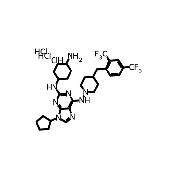 Cl.Cl.Cl.NC1CCC(Nc2nc(NN3CCC(Cc4ccc(C(F)(F)F)cc4C(F)(F)F)CC3)c3ncn(C4CCCC4)c3n2)CC1